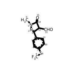 CN1N=C(c2ccc(SC(F)(F)F)cc2)C(C=O)C1=O